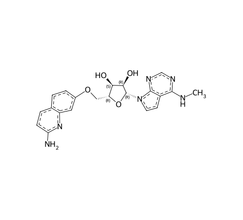 CNc1ncnc2c1ccn2[C@@H]1O[C@H](COc2ccc3ccc(N)nc3c2)[C@@H](O)[C@H]1O